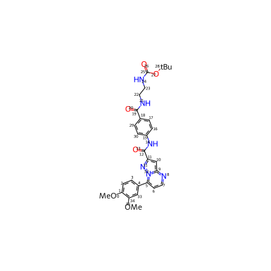 COc1ccc(-c2ccnc3cc(C(=O)Nc4ccc(C(=O)NCCNC(=O)OC(C)(C)C)cc4)nn23)cc1OC